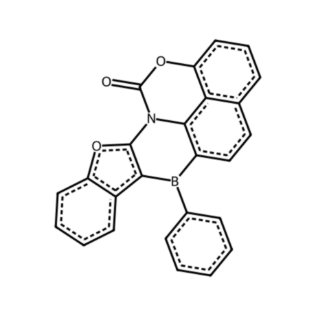 O=C1Oc2cccc3ccc4c(c23)N1c1oc2ccccc2c1B4c1ccccc1